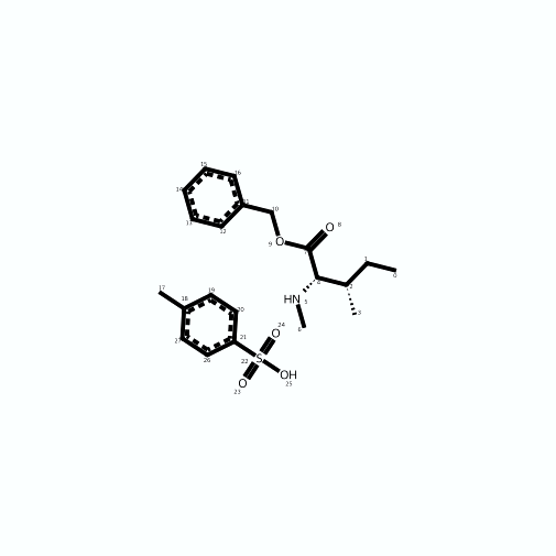 CC[C@H](C)[C@H](NC)C(=O)OCc1ccccc1.Cc1ccc(S(=O)(=O)O)cc1